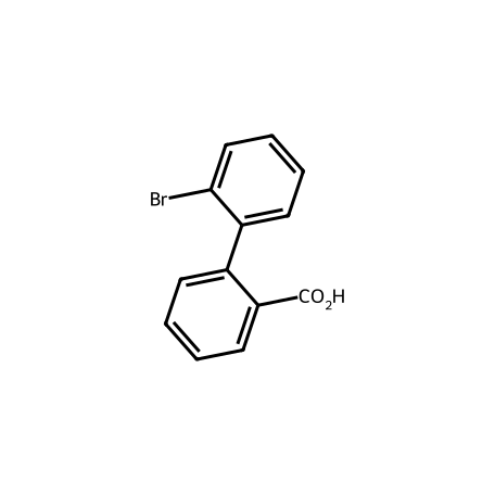 O=C(O)c1ccccc1-c1ccccc1Br